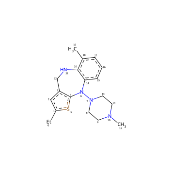 CCc1cc2c(s1)N(N1CCN(C)CC1)c1cccc(C)c1NC2